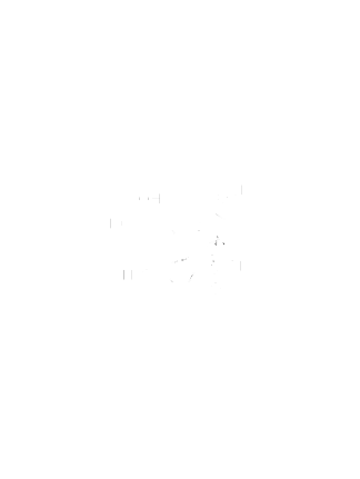 COc1cncc(C=CCC(C)O)c1.Cc1ccc(S(=O)(=O)O)cc1